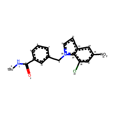 CC(C)(C)NC(=O)c1cccc(Cn2ccc3cc([N+](=O)[O-])cc(Cl)c32)c1